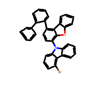 Brc1cccc2c1c1ccccc1n2-c1ccc(-c2ccccc2-c2ccccc2)c2c1oc1ccccc12